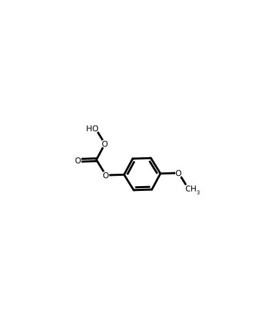 COc1ccc(OC(=O)OO)cc1